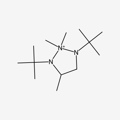 CC1CN(C(C)(C)C)[N+](C)(C)N1C(C)(C)C